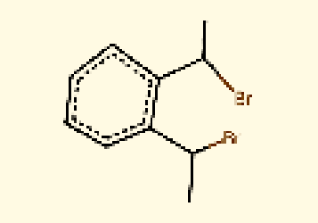 CC(Br)c1ccccc1C(C)Br